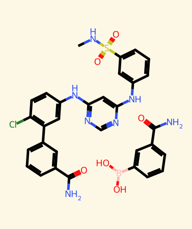 CNS(=O)(=O)c1cccc(Nc2cc(Nc3ccc(Cl)c(-c4cccc(C(N)=O)c4)c3)ncn2)c1.NC(=O)c1cccc(B(O)O)c1